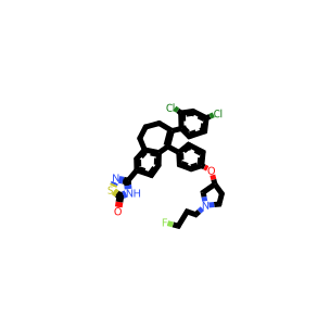 O=c1[nH]c(-c2ccc3c(c2)CCCC(c2ccc(Cl)cc2Cl)=C3c2ccc(OC3CCN(CCCF)C3)cc2)ns1